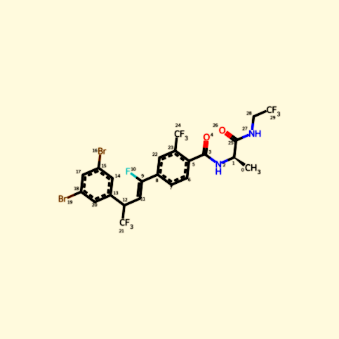 C[C@@H](NC(=O)c1ccc(/C(F)=C/C(c2cc(Br)cc(Br)c2)C(F)(F)F)cc1C(F)(F)F)C(=O)NCC(F)(F)F